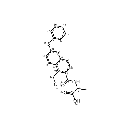 C[C@H](NC(=O)c1ncc2cc(Sc3ccccc3)ccc2c1CO)C(=O)O